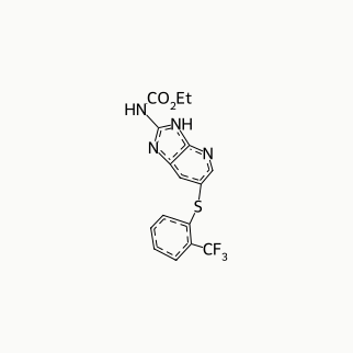 CCOC(=O)Nc1nc2cc(Sc3ccccc3C(F)(F)F)cnc2[nH]1